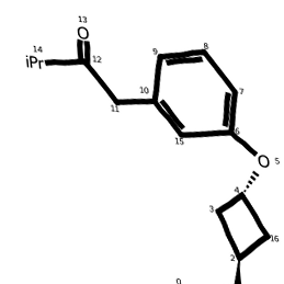 CC(C)N[C@H]1C[C@H](Oc2cccc(CC(=O)C(C)C)c2)C1